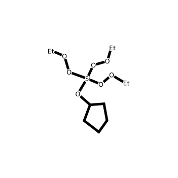 CCOO[Si](OOCC)(OOCC)OC1CCCC1